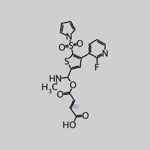 CNC(OC(=O)/C=C/C(=O)O)c1cc(-c2cccnc2F)c(S(=O)(=O)n2cccc2)s1